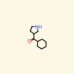 O=C(C1CCCCC1)C1CCNC1